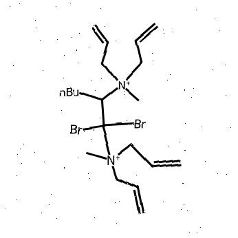 C=CC[N+](C)(CC=C)C(CCCC)C(Br)(Br)[N+](C)(CC=C)CC=C